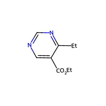 CCOC(=O)c1cncnc1CC